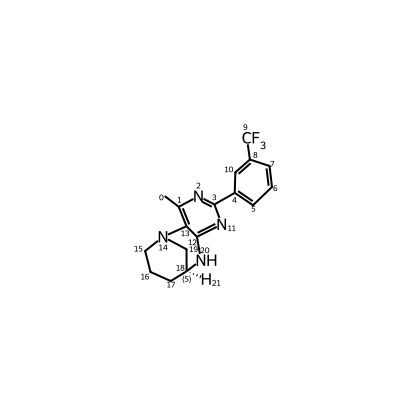 Cc1nc(-c2cccc(C(F)(F)F)c2)nc2c1N1CCC[C@@H](C1)N2